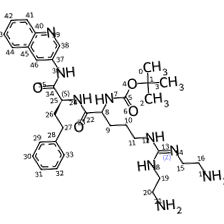 CC(C)(C)OC(=O)NC(CCCN/C(=N/CCN)NCCN)C(=O)N[C@@H](CCc1ccccc1)C(=O)Nc1cnc2ccccc2c1